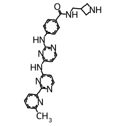 Cc1cccc(-c2nccc(Nc3ccnc(Nc4ccc(C(=O)NCC5CNC5)cc4)n3)n2)n1